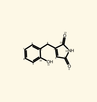 O=C1C=C(Cc2ccccc2O)C(=O)N1